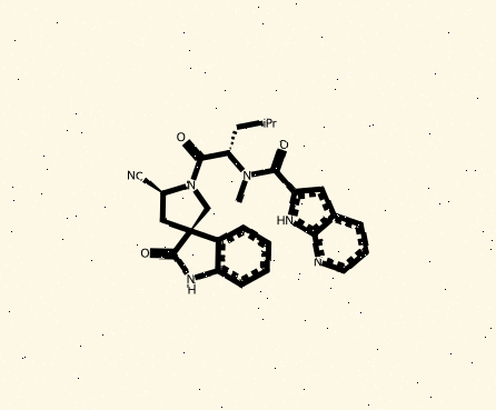 CC(C)C[C@@H](C(=O)N1C[C@]2(C[C@H]1C#N)C(=O)Nc1ccccc12)N(C)C(=O)c1cc2cccnc2[nH]1